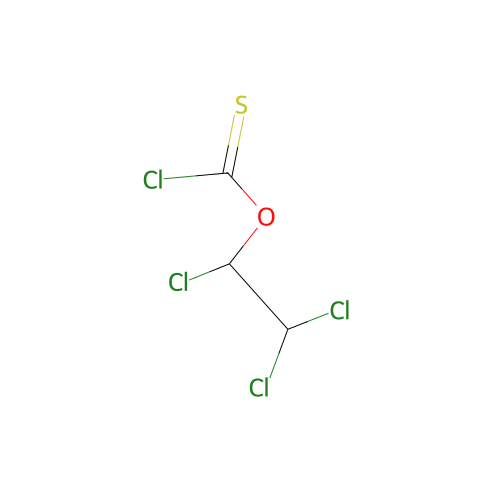 S=C(Cl)OC(Cl)C(Cl)Cl